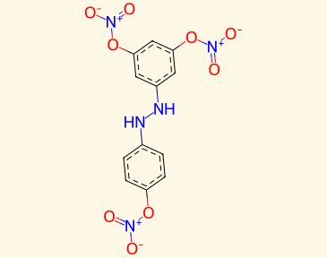 O=[N+]([O-])Oc1ccc(NNc2cc(O[N+](=O)[O-])cc(O[N+](=O)[O-])c2)cc1